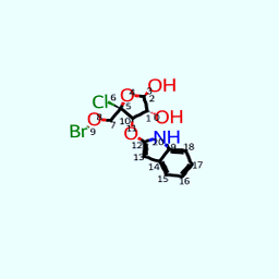 O[C@H]1[C@H](O)O[C@@](Cl)(COBr)[C@@H]1Oc1cc2ccccc2[nH]1